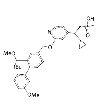 COc1cccc(-c2ccc(COc3cc([C@@H](CP(C)(=O)O)C4CC4)ccn3)cc2C(OC)C(C)(C)C)c1